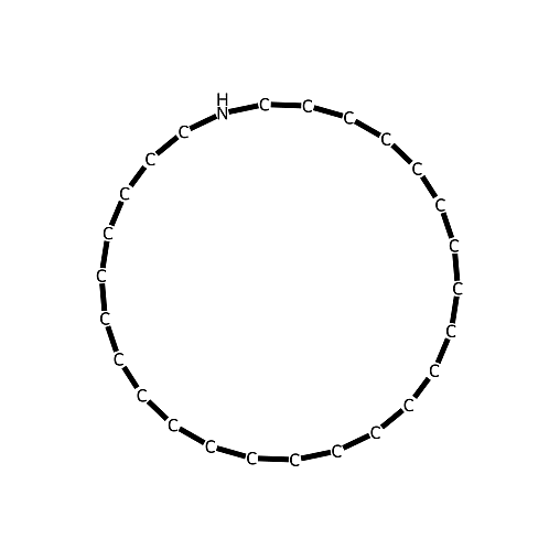 C1CCCCCCCCCCCCNCCCCCCCCCCCC1